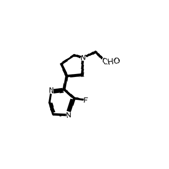 O=CCN1CCC(c2nccnc2F)C1